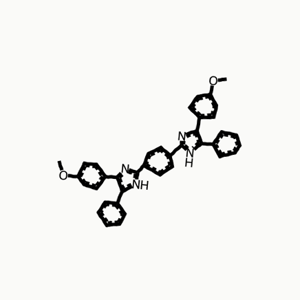 COc1ccc(-c2nc(-c3ccc(-c4nc(-c5ccc(OC)cc5)c(-c5ccccc5)[nH]4)cc3)[nH]c2-c2ccccc2)cc1